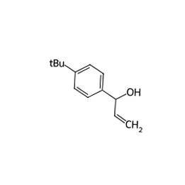 C=CC(O)c1ccc(C(C)(C)C)cc1